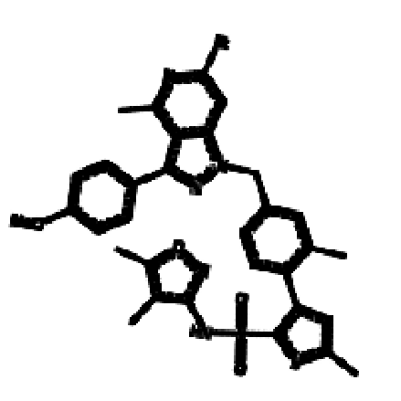 CCc1cc2c(c(C)n1)c(-c1ccc(OC)cc1)nn2Cc1ccc(-c2cc(C)sc2S(=O)(=O)Nc2noc(C)c2C)c(C)c1